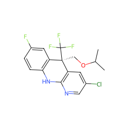 CC(C)OC[C@@]1(C(F)(F)F)c2cc(F)ccc2Nc2ncc(Cl)cc21